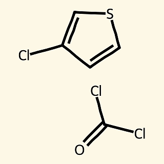 Clc1ccsc1.O=C(Cl)Cl